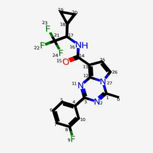 Cc1nc(-c2cccc(F)c2)nc2c(C(=O)NC(C3CC3)C(F)(F)F)ccn12